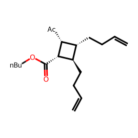 C=CCC[C@@H]1[C@@H](CCC=C)[C@H](C(=O)OCCCC)[C@@H]1C(C)=O